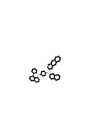 c1ccc2c(c1)-c1cccc3cccc(c13)N2c1ccc(N(c2ccc3ccccc3c2)c2ccc3cc4ccccc4cc3c2)cc1